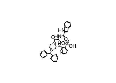 O=C(N[C@@H](CSc1ncccc1P(=O)(O)O)C(=O)N1CCN(C(c2ccccc2)c2ccccc2)CC1)c1cc2ccccc2[nH]1